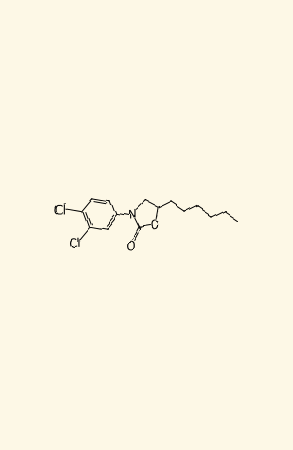 CCCCCCC1CN(c2ccc(Cl)c(Cl)c2)C(=O)O1